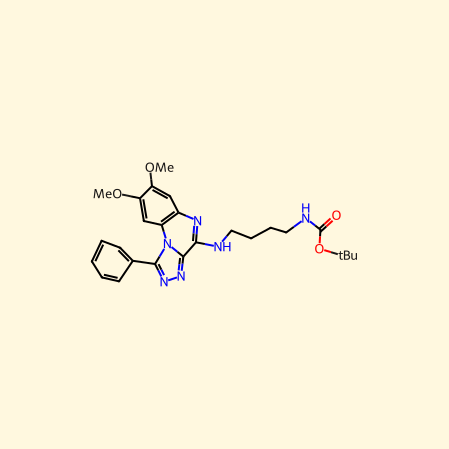 COc1cc2nc(NCCCCNC(=O)OC(C)(C)C)c3nnc(-c4ccccc4)n3c2cc1OC